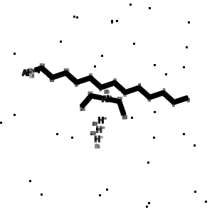 CCCCCCCCCCCC[CH2][Al+2].C[CH2][Al+][CH2]C.[H-].[H-].[H-]